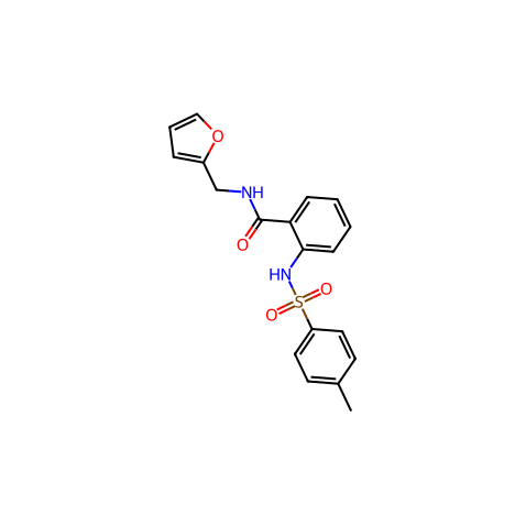 Cc1ccc(S(=O)(=O)Nc2ccccc2C(=O)NCc2ccco2)cc1